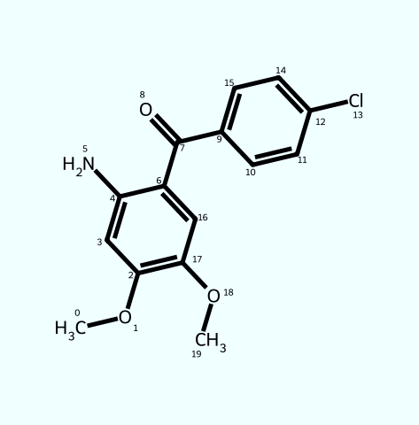 COc1cc(N)c(C(=O)c2ccc(Cl)cc2)cc1OC